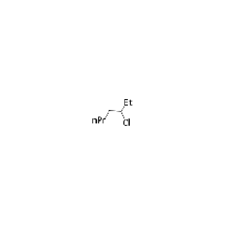 CCCCC(Cl)CC